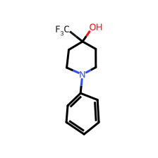 OC1(C(F)(F)F)CCN(c2ccccc2)CC1